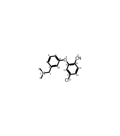 CN(C)Cc1cccc(Oc2cc(Cl)ccc2C#N)c1